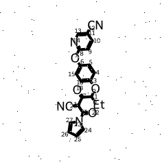 CCC(Oc1ccc(Oc2ccc(C#N)cn2)cc1)C(=O)C(C#N)C(=O)n1cccc1